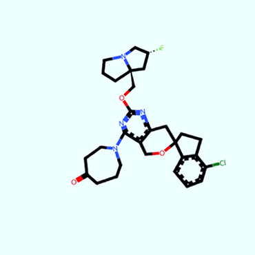 O=C1CCCN(c2nc(OC[C@@]34CCCN3C[C@H](F)C4)nc3c2COC2(CCc4c(Cl)cccc42)C3)CC1